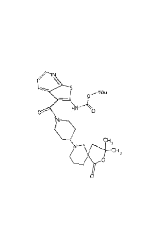 CC(C)(C)OC(=O)Nc1sc2ncccc2c1C(=O)N1CCC(N2CCCC3(C2)CC(C)(C)OC3=O)CC1